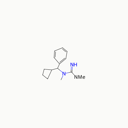 CNC(=N)N(C)C(c1ccccc1)C1CCC1